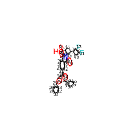 O=C(O)c1ccc(-c2ccc(F)c(F)c2)cc1N1C(=O)c2ccc(C(COCc3ccccc3)OCc3ccccc3)cc2C1=O